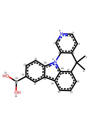 CC1(C)c2ccncc2-n2c3ccc(B(O)O)cc3c3cccc1c32